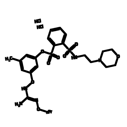 CCCON=C(N)NOc1cc(C)cc(OS(=O)(=O)c2ccccc2S(=O)(=O)NCCN2CCOCC2)c1.Cl.Cl